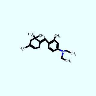 CCN(CC)c1ccc(/C=C2\CC=C(C)CC2(C)C)c(C)c1